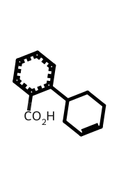 O=C(O)c1ccccc1C1CC=CCC1